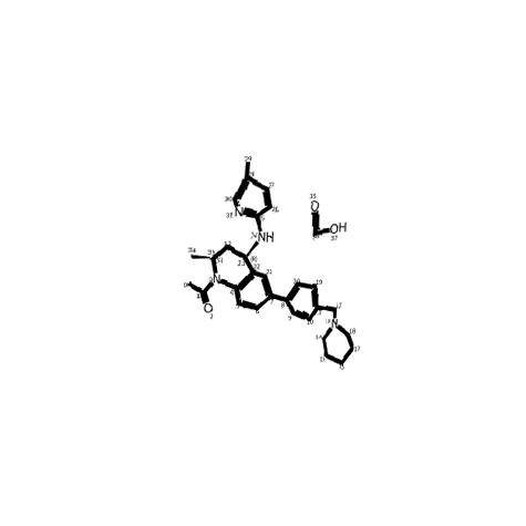 CC(=O)N1c2ccc(-c3ccc(CN4CCCCC4)cc3)cc2[C@H](Nc2ccc(C)cn2)C[C@@H]1C.O=CO